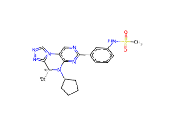 CC[C@@H]1c2nncn2-c2cnc(-c3cccc(NS(C)(=O)=O)c3)nc2N1C1CCCC1